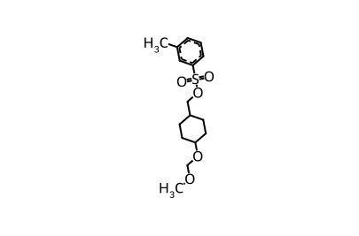 COCOC1CCC(COS(=O)(=O)c2cccc(C)c2)CC1